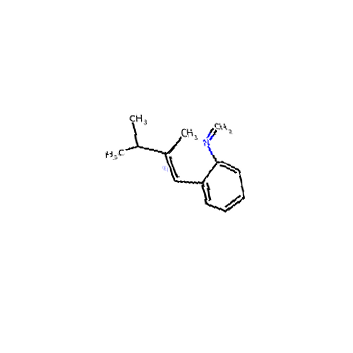 C=Nc1ccccc1/C=C(\C)C(C)C